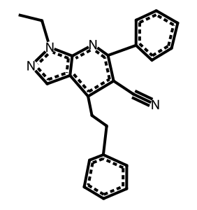 CCn1ncc2c(CCc3ccccc3)c(C#N)c(-c3ccccc3)nc21